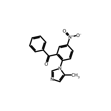 Cc1cncn1-c1ccc([N+](=O)[O-])cc1C(=O)c1ccccc1